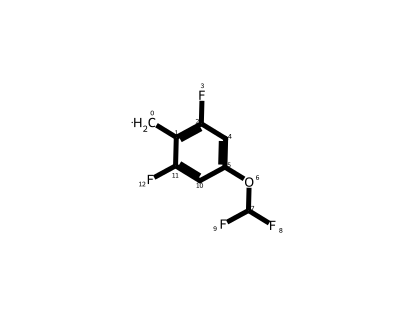 [CH2]c1c(F)cc(OC(F)F)cc1F